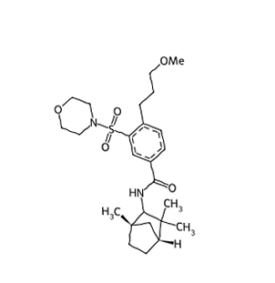 COCCCc1ccc(C(=O)NC2C(C)(C)[C@@H]3CC[C@@]2(C)C3)cc1S(=O)(=O)N1CCOCC1